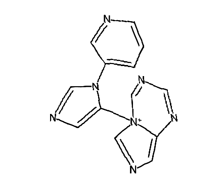 C1=NC=NC2=CN=C[N+]12c1cncn1-c1cccnc1